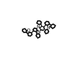 C1=C(c2cccc3c4ccccc4n(-c4ccccc4)c23)C2c3ccccc3N3c4ccc(-c5cccc6c5oc5ccccc56)c5c6ccccc6n(c45)C(=C1)C23